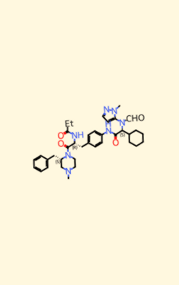 CCC(=O)N[C@H](Cc1ccc(NC(=O)[C@H](C2CCCCC2)N(C=O)c2ccnn2C)cc1)C(=O)N1CCN(C)C[C@@H]1Cc1ccccc1